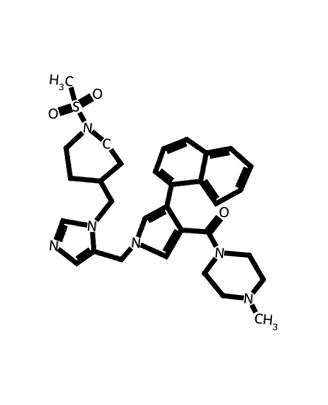 CN1CCN(C(=O)c2cn(Cc3cncn3CC3CCN(S(C)(=O)=O)CC3)cc2-c2cccc3ccccc23)CC1